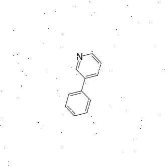 [c]1ccc(-c2ccccc2)cn1